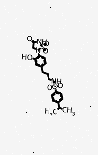 CC(C)c1ccc(S(=O)(=O)NCCCc2ccc(N3CC(=O)NS3(=O)=O)c(O)c2)cc1